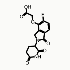 O=C(O)COc1c(F)ccc2c1CN(C1CCC(=O)NC1=O)C2=O